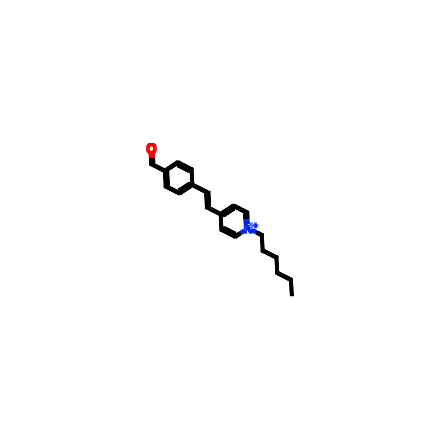 CCCCCC[n+]1ccc(/C=C/c2ccc(C=O)cc2)cc1